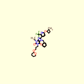 CCn1c(=O)n(CCCOC2CCCCO2)c(=O)c2c1nc(-c1ccc(OC3CCC3C)nc1C(F)(F)F)n2Cc1ccccc1